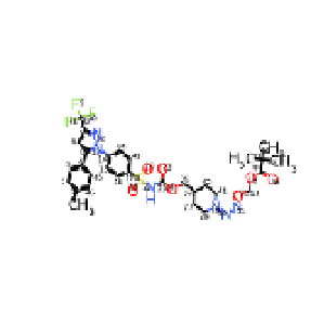 Cc1ccc(-c2cc(C(F)(F)F)nn2-c2ccc(S(=O)(=O)NC(=O)OCC3CCN(/N=N\OCOC(=O)C(C)(C)C)CC3)cc2)cc1